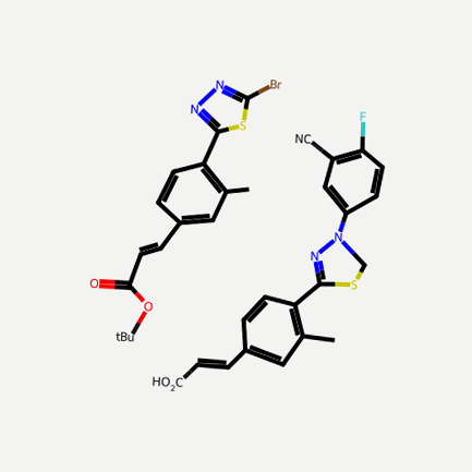 Cc1cc(C=CC(=O)O)ccc1C1=NN(c2ccc(F)c(C#N)c2)CS1.Cc1cc(C=CC(=O)OC(C)(C)C)ccc1-c1nnc(Br)s1